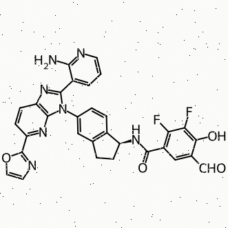 Nc1ncccc1-c1nc2ccc(-c3ncco3)nc2n1-c1ccc2c(c1)CC[C@@H]2NC(=O)c1cc(C=O)c(O)c(F)c1F